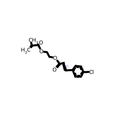 C=C(C)C(=O)OCCOC(=O)/C=C/c1ccc(Cl)cc1